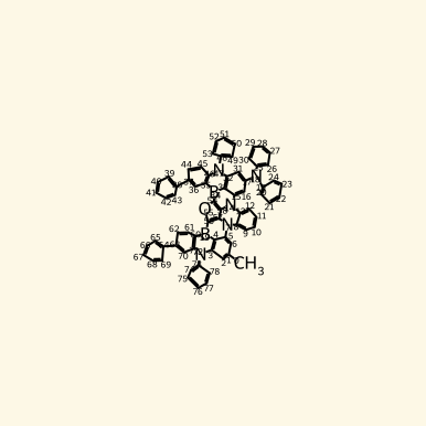 Cc1cc2c3c(c1)N1c4ccccc4N4c5cc(N(c6ccccc6)c6ccccc6)cc6c5B(c5cc(-c7ccccc7)ccc5N6c5ccccc5)c5oc(c1c54)B3c1ccc(-c3ccccc3)cc1N2c1ccccc1